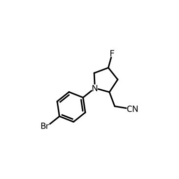 N#CCC1CC(F)CN1c1ccc(Br)cc1